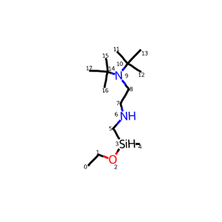 CCO[SiH](C)CNCCN(C(C)(C)C)C(C)(C)C